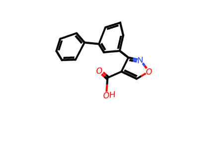 O=C(O)c1conc1-c1cccc(-c2ccccc2)c1